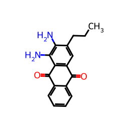 CCCc1cc2c(c(N)c1N)C(=O)c1ccccc1C2=O